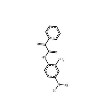 CCN(CC)c1ccc(NC(=O)C(=O)c2ccccc2)c(C)c1